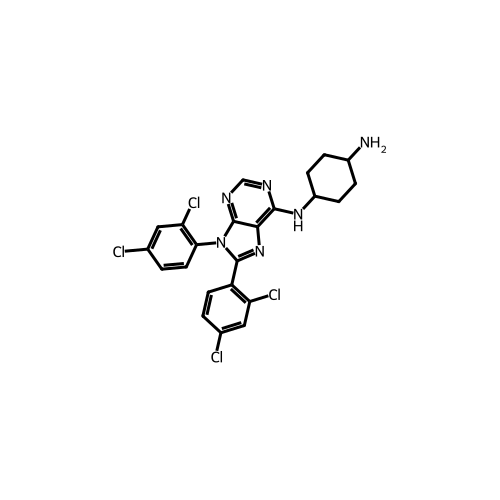 NC1CCC(Nc2ncnc3c2nc(-c2ccc(Cl)cc2Cl)n3-c2ccc(Cl)cc2Cl)CC1